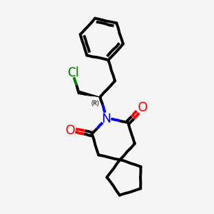 O=C1CC2(CCCC2)CC(=O)N1[C@@H](CCl)Cc1ccccc1